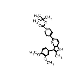 COc1ccc(-c2c(C)[nH]c3ccc(C4=CCN(C(=O)OC(C)(C)C)CC4)nc23)cc1OC